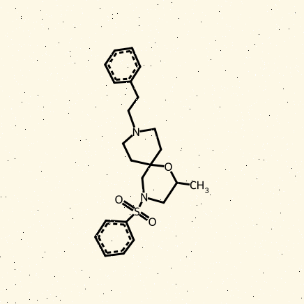 CC1CN(S(=O)(=O)c2ccccc2)CC2(CCN(CCc3ccccc3)CC2)O1